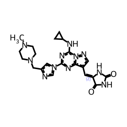 CN1CCN(Cc2cn(-c3nc(NC4CC4)n4ncc(/C=C5\NC(=O)NC5=O)c4n3)cn2)CC1